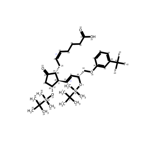 CC(C)(C)[Si](C)(C)O[C@H](/C=C/[C@H]1[C@H](O[Si](C)(C)C(C)(C)C)CC(=O)[C@@H]1C/C=C\CCCC(=O)O)COc1cccc(C(F)(F)F)c1